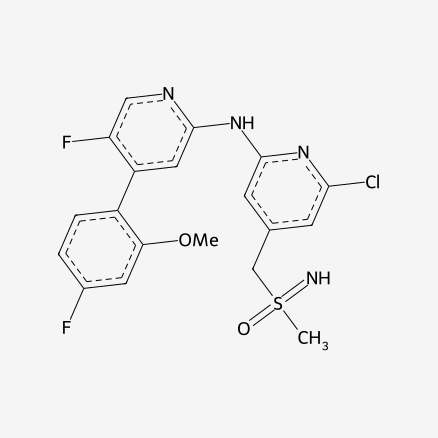 COc1cc(F)ccc1-c1cc(Nc2cc(CS(C)(=N)=O)cc(Cl)n2)ncc1F